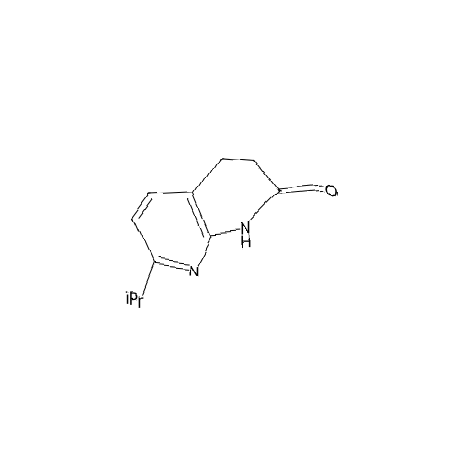 CC(C)c1ccc2c(n1)NC(=O)CC2